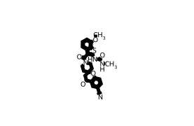 CNC(=O)Nc1sc2c(OC)cccc2c1C(=O)N1CCC2(CC1)CC(=O)c1cc(C#N)ccc1O2